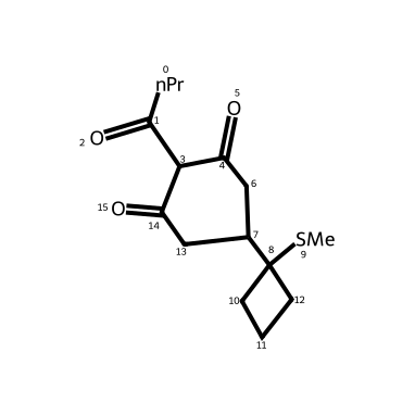 CCCC(=O)C1C(=O)CC(C2(SC)CCC2)CC1=O